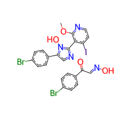 COc1nccc(I)c1-c1ncc(-c2ccc(Br)cc2)n1O.O=C(C=NO)c1ccc(Br)cc1